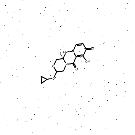 O=C1c2c(O)c(=O)ccn2N[C@@H]2COC(OC3CC3)CN12